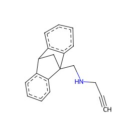 C#CCNCC12CC(c3ccccc31)c1ccccc12